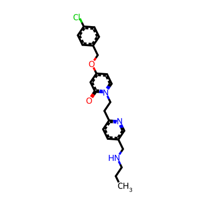 CCCNCc1ccc(CCn2ccc(OCc3ccc(Cl)cc3)cc2=O)nc1